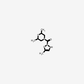 CC1=CNN(C(=O)N2CC(C)OC(C)C2)O1